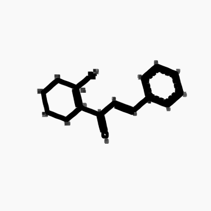 O=C(C=Cc1ccccc1)C1=C(Br)CCCC1